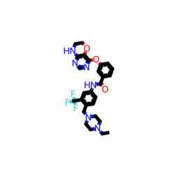 CCN1CCN(Cc2ccc(NC(=O)c3cccc(Oc4ncnc5c4OCCN5)c3)cc2C(F)(F)F)CC1